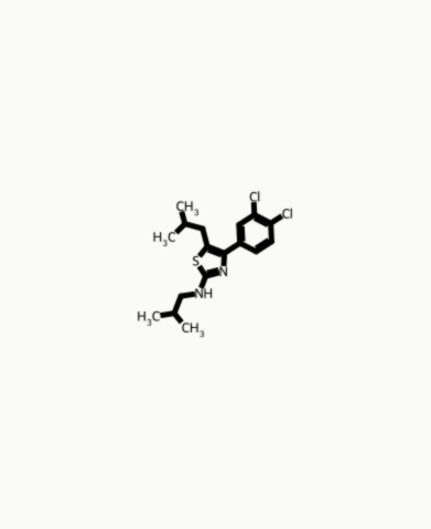 CC(C)CNc1nc(-c2ccc(Cl)c(Cl)c2)c(CC(C)C)s1